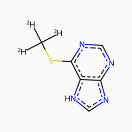 [2H]C([2H])([2H])Sc1ncnc2nc[nH]c12